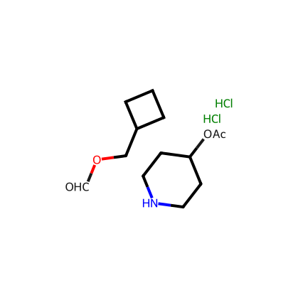 CC(=O)OC1CCNCC1.Cl.Cl.O=COCC1CCC1